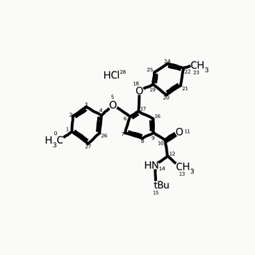 Cc1ccc(Oc2ccc(C(=O)C(C)NC(C)(C)C)cc2Oc2ccc(C)cc2)cc1.Cl